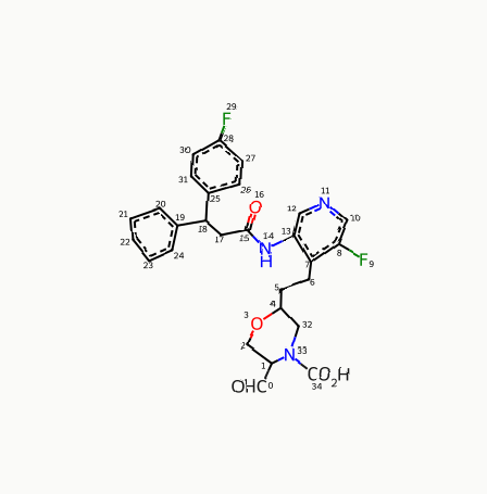 O=CC1COC(CCc2c(F)cncc2NC(=O)CC(c2ccccc2)c2ccc(F)cc2)CN1C(=O)O